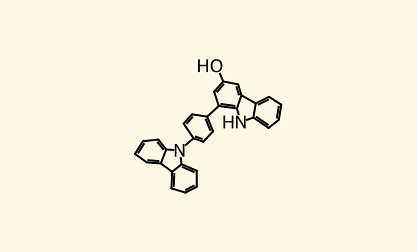 Oc1cc(-c2ccc(-n3c4ccccc4c4ccccc43)cc2)c2[nH]c3ccccc3c2c1